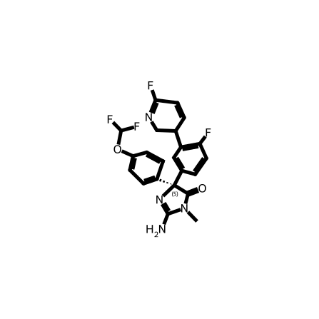 CN1C(=O)[C@](c2ccc(OC(F)F)cc2)(c2ccc(F)c(C3C=CC(F)=NC3)c2)N=C1N